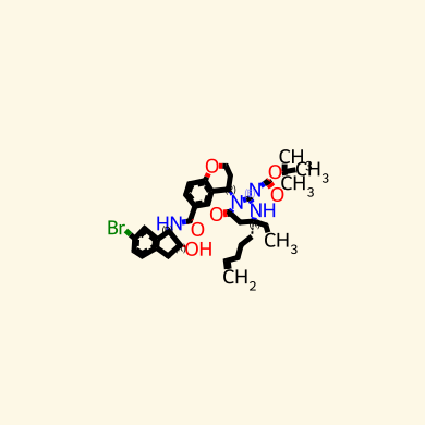 C=CCCC[C@]1(CC)CC(=O)N([C@@H]2CCOc3ccc(C(=O)N[C@@H]4c5cc(Br)ccc5C[C@H]4O)cc32)/C(=N/C(=O)OC(C)(C)C)N1